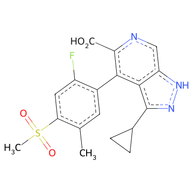 Cc1cc(-c2c(C(=O)O)ncc3[nH]nc(C4CC4)c23)c(F)cc1S(C)(=O)=O